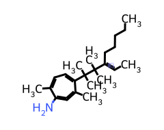 C/C=C(\CCCCC)C(C)(C)C(C)(C)C1=CC=C(C)C(N)=C=C1C